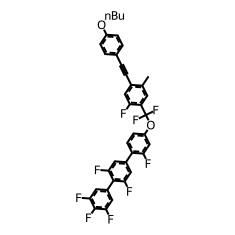 CCCCOc1ccc(C#Cc2cc(F)c(C(F)(F)Oc3ccc(-c4cc(F)c(-c5cc(F)c(F)c(F)c5)c(F)c4)c(F)c3)cc2C)cc1